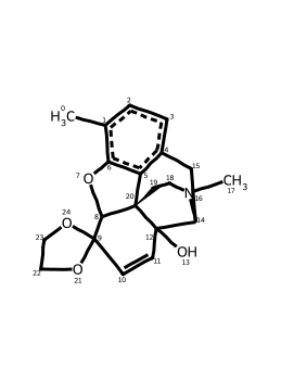 Cc1ccc2c3c1OC1C4(C=CC5(O)C(C2)N(C)CC[C@]315)OCCO4